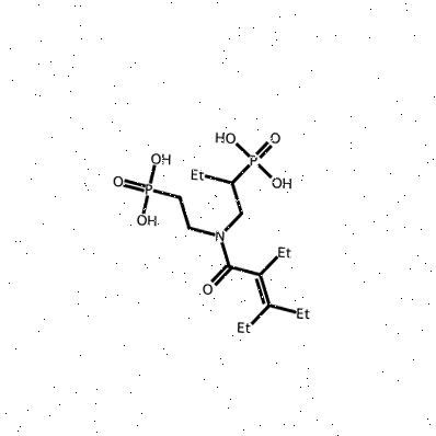 CCC(CC)=C(CC)C(=O)N(CCP(=O)(O)O)CC(CC)P(=O)(O)O